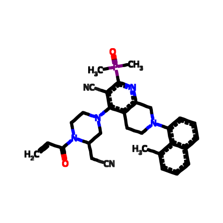 C=CC(=O)N1CCN(c2c(C#N)c(P(C)(C)=O)nc3c2CCN(c2cccc4cccc(C)c24)C3)CC1CC#N